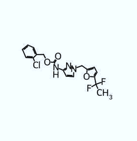 CC(F)(F)c1ccc(Cn2ccc(NC(=O)OCc3ccccc3Cl)n2)o1